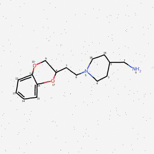 NCC1CCN(CCC2COc3ccccc3O2)CC1